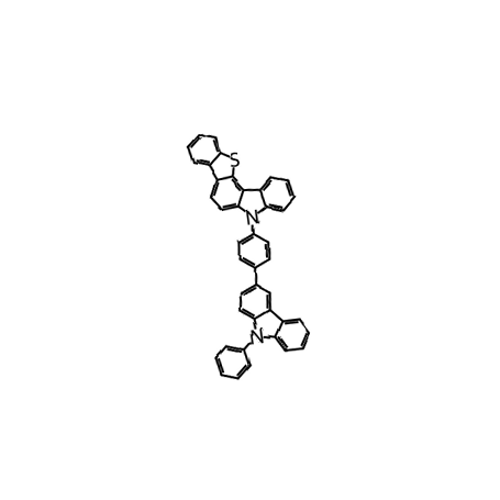 c1ccc(-n2c3ccccc3c3cc(-c4ccc(-n5c6ccccc6c6c7sc8ccccc8c7ccc65)cc4)ccc32)cc1